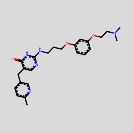 Cc1ccc(Cc2cnc(NCCCOc3cccc(OCCN(C)C)c3)[nH]c2=O)cn1